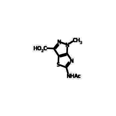 CC(=O)Nc1nc2c(s1)c(C(=O)O)nn2C